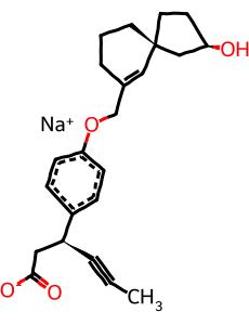 CC#C[C@@H](CC(=O)[O-])c1ccc(OCC2=C[C@]3(CCC2)CC[C@@H](O)C3)cc1.[Na+]